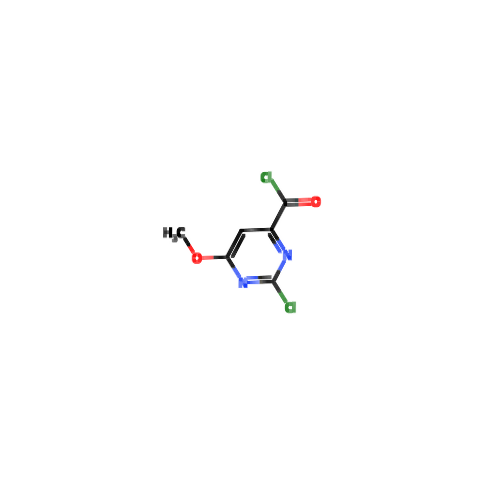 COc1cc(C(=O)Cl)nc(Cl)n1